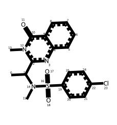 CC(c1nc2ccccc2c(=O)n1C)N(C)S(=O)(=O)c1ccc(Cl)cc1